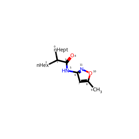 CCCCCCCC(CCCCCC)C(=O)Nc1cc(C)on1